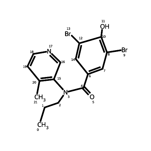 CCCN(C(=O)c1cc(Br)c(O)c(Br)c1)c1cnccc1C